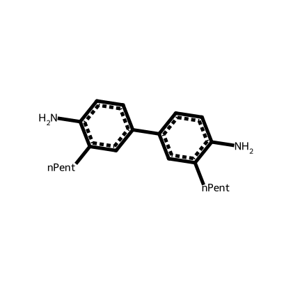 CCCCCc1cc(-c2ccc(N)c(CCCCC)c2)ccc1N